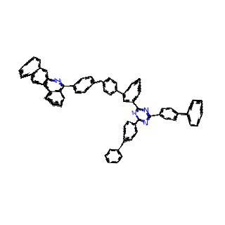 c1ccc(-c2ccc(-c3nc(-c4ccc(-c5ccccc5)cc4)nc(-c4cccc(-c5ccc(-c6ccc(-c7nc8cc9ccccc9cc8c8ccccc78)cc6)cc5)c4)n3)cc2)cc1